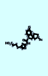 CC(=O)N1CCC2(C1)CN(C(=O)Nc1ncc(SCCC(=O)O)s1)c1ccc(Cl)cc12